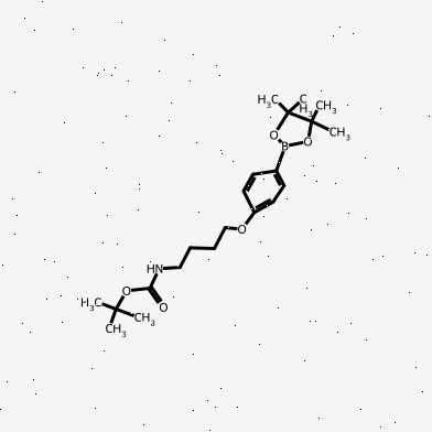 CC(C)(C)OC(=O)NCCCCOc1ccc(B2OC(C)(C)C(C)(C)O2)cc1